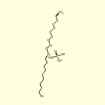 C=COOOOOOOOOCCCCCCCCCC(C)C.O=P(O)(O)O